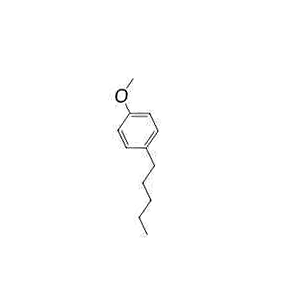 CCCCCc1ccc(OC)cc1